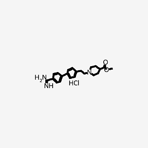 COC(=O)C1CCN(CCc2ccc(-c3ccc(C(=N)N)cc3)cc2)CC1.Cl